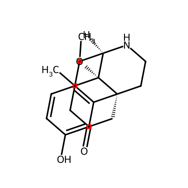 CO[C@@]12C(C)CC(=O)C[C@@]13CCN[C@@H]2Cc1ccc(O)cc13